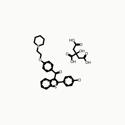 O=C(O)CC(O)(CC(=O)O)C(=O)O.O=C(c1ccc(OCCN2CCCCC2)cc1)c1c(-c2ccc(Cl)cc2)sc2ccccc12